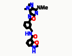 CNc1nc2oc(-c3cccc(CNC(=O)c4cccc5c4OCN5)c3)nc2c2c1ncn2C